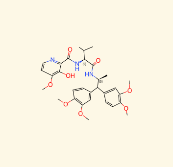 COc1ccc(C(c2ccc(OC)c(OC)c2)[C@H](C)NC(=O)[C@@H](NC(=O)c2nccc(OC)c2O)C(C)C)cc1OC